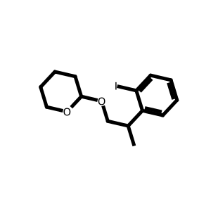 CC(COC1CCCCO1)c1ccccc1I